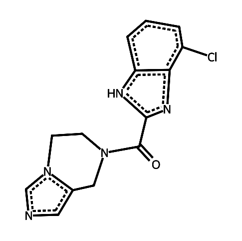 O=C(c1nc2c(Cl)cccc2[nH]1)N1CCn2cncc2C1